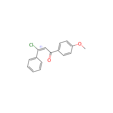 COc1ccc(C(=O)/C=C(/Cl)c2ccccc2)cc1